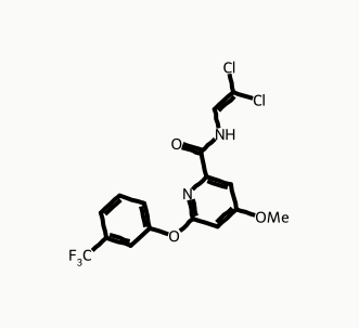 COc1cc(Oc2cccc(C(F)(F)F)c2)nc(C(=O)NC=C(Cl)Cl)c1